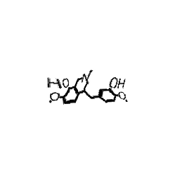 COc1ccc(CC2CN(C)Cc3c2ccc(OC)c3O)cc1O